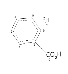 O=C(O)c1ccccc1.[2H]